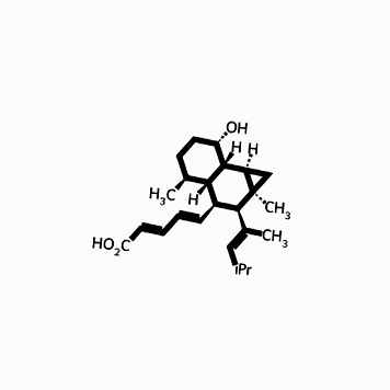 C/C(=C\C(C)C)[C@H]1[C@@H](/C=C/C=C/C(=O)O)[C@H]2[C@@H]([C@H]3C[C@]31C)[C@@H](O)CC[C@@H]2C